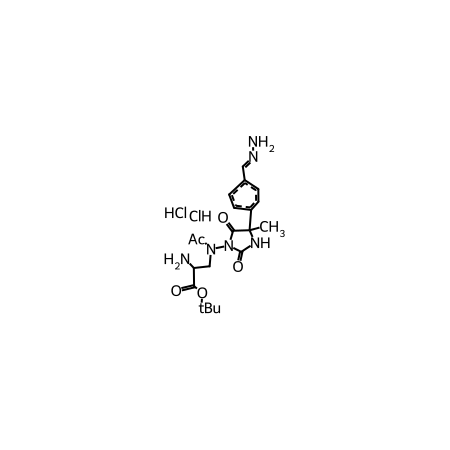 CC(=O)N(CC(N)C(=O)OC(C)(C)C)N1C(=O)NC(C)(c2ccc(C=NN)cc2)C1=O.Cl.Cl